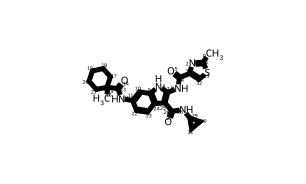 Cc1nc(C(=O)Nc2[nH]c3cc(NC(=O)C4(C)CCCCC4)ccc3c2C(=O)NC2CC2)cs1